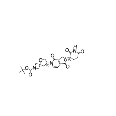 CC(C)(C)OC(=O)N1CC2(C[C@@H](n3ccc4c(c3=O)CN([C@@H]3CCC(=O)NC3=O)C4=O)CO2)C1